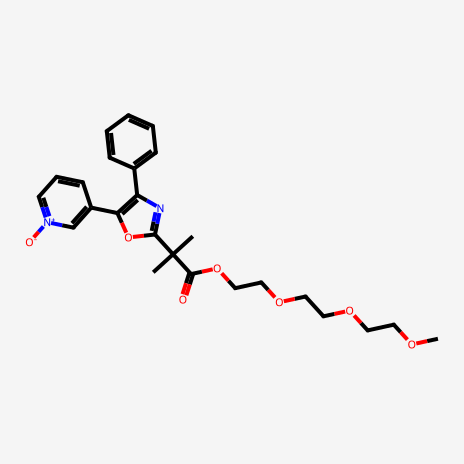 COCCOCCOCCOC(=O)C(C)(C)c1nc(-c2ccccc2)c(-c2ccc[n+]([O-])c2)o1